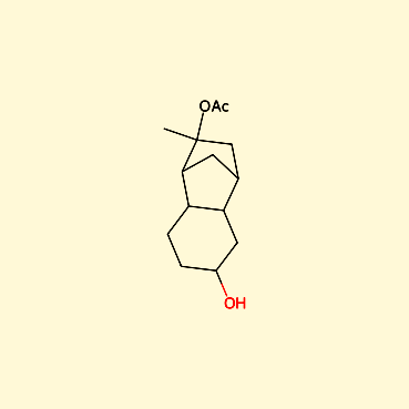 CC(=O)OC1(C)CC2CC1C1CCC(O)CC21